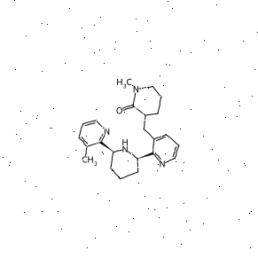 Cc1cccnc1[C@@H]1CCC[C@H](c2ncccc2CC2CCCN(C)C2=O)N1